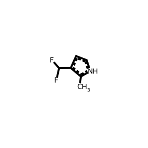 Cc1[nH]ccc1C(F)F